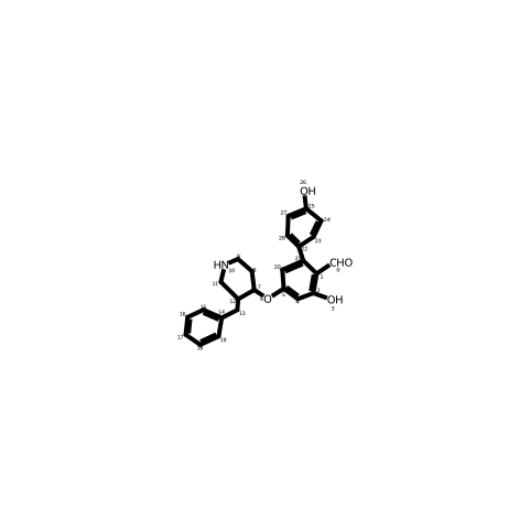 O=Cc1c(O)cc(OC2CCNCC2Cc2ccccc2)cc1-c1ccc(O)cc1